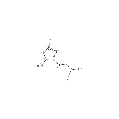 Cn1cc(N)c(OCC(F)F)n1